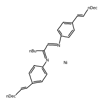 CCCCCCCCCCC=Cc1ccc(N=CC(CCCC)=Nc2ccc(C=CCCCCCCCCCC)cc2)cc1.[Ni]